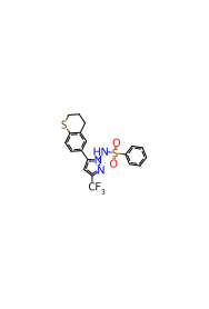 O=S(=O)(Nn1nc(C(F)(F)F)cc1-c1ccc2c(c1)CCCS2)c1ccccc1